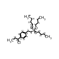 CCCCO[Si](CCc1ccc(C(Cl)CC)cc1)(OCCCC)OCCCC